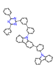 c1ccc(-c2nc(-c3ccccc3)nc(-c3cccc(-c4cccc(-n5c6ccccc6c6ccc(-c7cccc(-n8c9ccccc9c9ccccc98)c7)cc65)c4)c3)n2)cc1